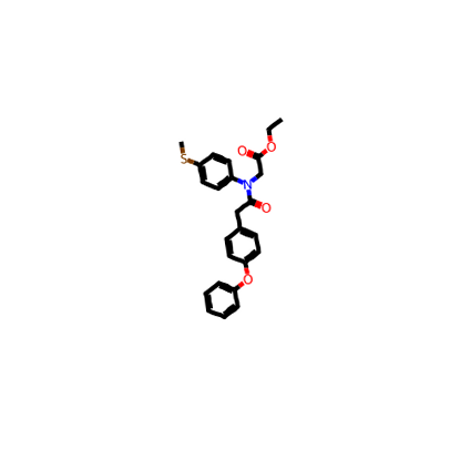 CCOC(=O)CN(C(=O)Cc1ccc(Oc2ccccc2)cc1)c1ccc(SC)cc1